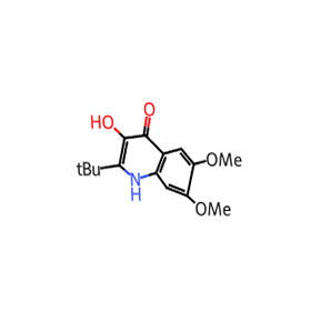 COc1cc2[nH]c(C(C)(C)C)c(O)c(=O)c2cc1OC